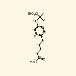 CCOC(=O)C(C)(C)Oc1ccc(CCCCC(=O)OC)cc1